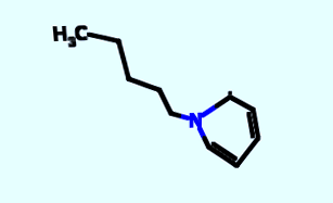 CCCCCN1[CH]C=CC=C1